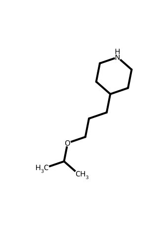 CC(C)OCCCC1CCNCC1